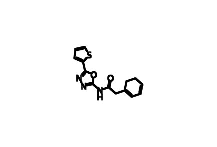 O=C(CC1=CC=CCC1)Nc1nnc(-c2cccs2)o1